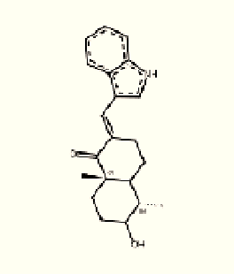 C[C@@H]1C(O)CC[C@]2(C)C(=O)C(=Cc3c[nH]c4ccccc34)CCC12